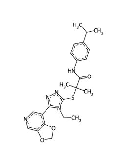 CCn1c(SC(C)(C)C(=O)Nc2ccc(C(C)C)cc2)nnc1-c1cncc2c1OCO2